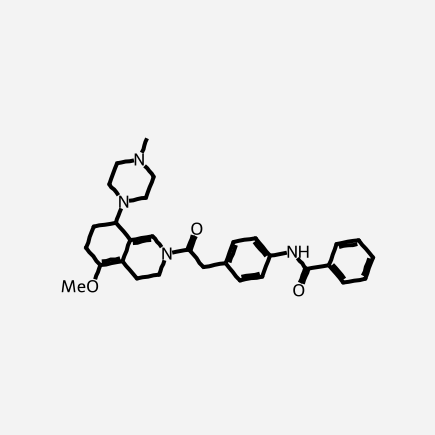 COC1=C2CCN(C(=O)Cc3ccc(NC(=O)c4ccccc4)cc3)C=C2C(N2CCN(C)CC2)CC1